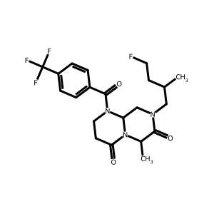 CC(CCF)CN1CC2N(C(=O)c3ccc(C(F)(F)F)cc3)CCC(=O)N2C(C)C1=O